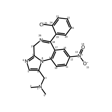 CN(C)Cc1cnc2n1-c1ccc([N+](=O)[O-])cc1C(c1ccccc1Cl)=NC2